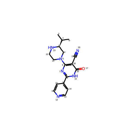 CC(C)[C@H]1CN(c2nc(-c3ccncc3)[nH]c(=O)c2C#N)CCN1